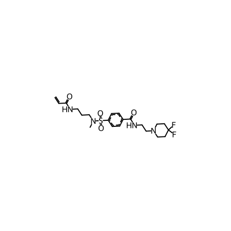 C=CC(=O)NCCCN(C)S(=O)(=O)c1ccc(C(=O)NCCN2CCC(F)(F)CC2)cc1